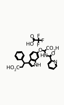 O=C(O)C(F)(F)F.O=C(O)CC(c1ccccc1)c1c[nH]c2cc(OC(NC(=O)c3ccccn3)C(=O)O)ccc12